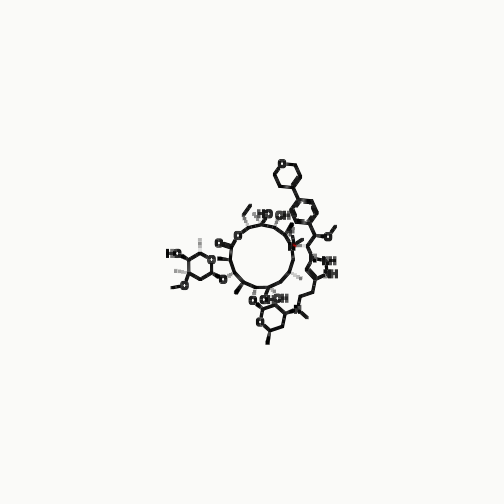 CC[C@H]1OC(=O)[C@H](C)[C@@H](O[C@H]2C[C@@](C)(OC)[C@@H](O)[C@H](C)O2)[C@H](C)[C@@H](O[C@@H]2O[C@H](C)C[C@H](N(C)CCC3=CN([C@H](CF)[C@H](OC)c4ccc(C5=CCOCC5)cc4)NN3)[C@H]2O)[C@](C)(O)C[C@@H](C)CN(C)[C@H](C)[C@@H](O)[C@]1(C)O